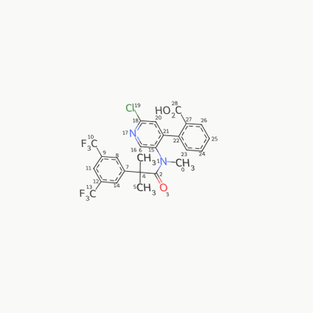 CN(C(=O)C(C)(C)c1cc(C(F)(F)F)cc(C(F)(F)F)c1)c1cnc(Cl)cc1-c1ccccc1C(=O)O